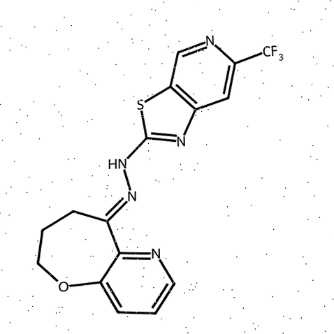 FC(F)(F)c1cc2nc(N/N=C3\CCCOc4cccnc43)sc2cn1